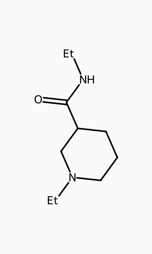 CCNC(=O)C1CCCN(CC)C1